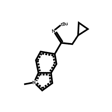 Cn1ccc2cc(C(CC3CC3)=NC(C)(C)C)ccc21